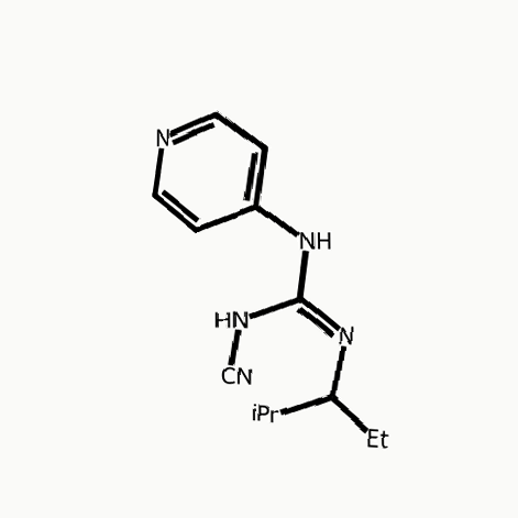 CCC(N=C(NC#N)Nc1ccncc1)C(C)C